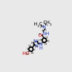 CCN(CC)CCNC(=O)c1cccc(Nc2cncc(-c3ccc(O)cc3)n2)c1